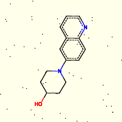 OC1CCN(c2ccc3ncccc3c2)CC1